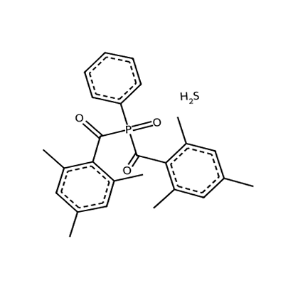 Cc1cc(C)c(C(=O)P(=O)(C(=O)c2c(C)cc(C)cc2C)c2ccccc2)c(C)c1.S